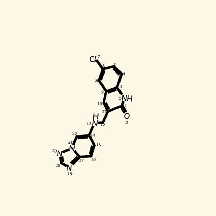 O=c1[nH]c2ccc(Cl)cc2cc1CNc1ccc2ncnn2c1